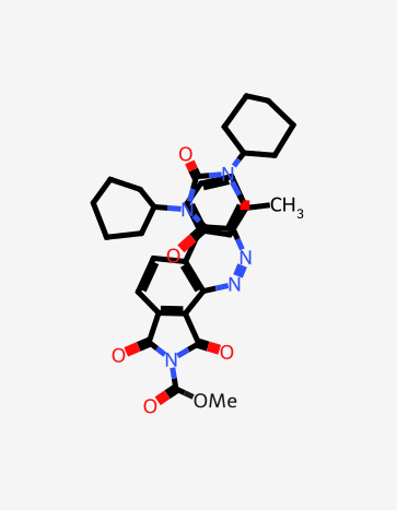 COC(=O)N1C(=O)c2ccc(-c3ccccc3)c(/N=N\c3c(C)n(C4CCCCC4)c(=O)n(C4CCCCC4)c3=O)c2C1=O